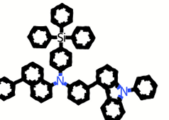 c1ccc(-c2cccc3c(N(c4ccc([Si](c5ccccc5)(c5ccccc5)c5ccccc5)cc4)c4cccc(-c5cccc6c5c5ccccc5n6-c5ccccc5)c4)cccc23)cc1